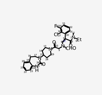 CCN(C)C(=O)/C(=C\N(C=O)CC(=O)N1CCC(N2CCc3ccccc3NC2=O)CC1)c1cccc(F)c1Cl